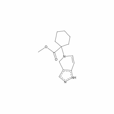 COC(=O)C1(N2C=Cc3[nH]ncc3C2)CCCCC1